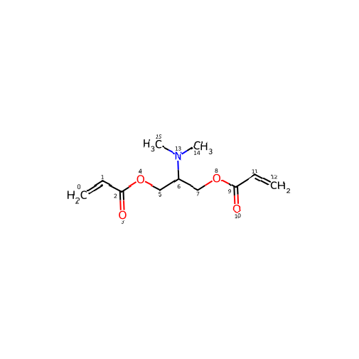 C=CC(=O)OCC(COC(=O)C=C)N(C)C